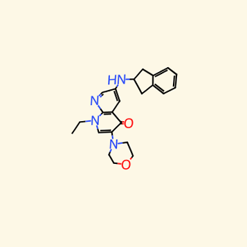 CCn1cc(N2CCOCC2)c(=O)c2cc(NC3Cc4ccccc4C3)cnc21